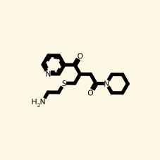 NCCSCC(CC(=O)N1CCCCC1)C(=O)c1cccnc1